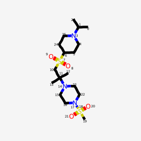 CC(C)N1CCC(S(=O)(=O)CC(C)(C)N2CCN(S(C)(=O)=O)CC2)CC1